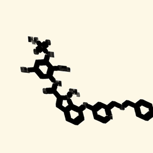 COc1c(NC(=O)c2cc3cccc(Oc4ccnc(COCc5ccccc5)c4)c3n2C)cc(C(C)(C)C)cc1NS(C)(=O)=O